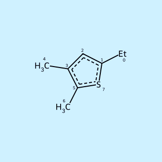 CCc1cc(C)c(C)s1